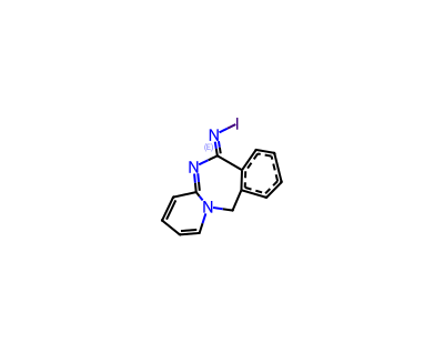 I/N=C1/N=C2C=CC=CN2Cc2ccccc21